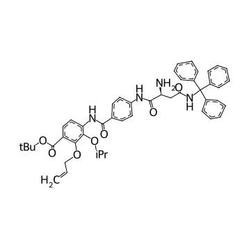 C=CCOc1c(C(=O)OC(C)(C)C)ccc(NC(=O)c2ccc(NC(=O)[C@@H](N)CC(=O)NC(c3ccccc3)(c3ccccc3)c3ccccc3)cc2)c1OC(C)C